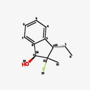 CC[C@H]1c2ccccc2[C@H](O)C1(C)F